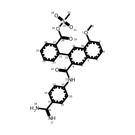 COc1cccc2cc(C(=O)Nc3ccc(C(=N)N)cc3)c(-c3ccccc3C(=O)OS(C)(=O)=O)cc12